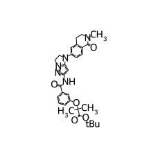 CN1CCc2cc(N3CCn4nc(NC(=O)c5cccc(OC(C)(C)C(=O)OC(C)(C)C)c5)cc43)ccc2C1=O